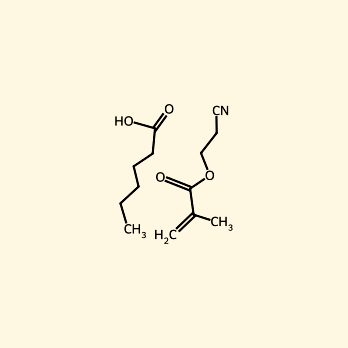 C=C(C)C(=O)OCCC#N.CCCCCC(=O)O